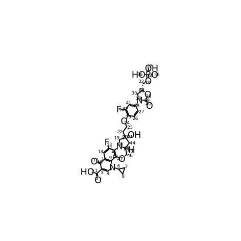 O=C(O)c1cn(C2CC2)c2c3c(c(F)cc2c1=O)N1C[C@@](O)(CCOc2ccc(N4C[C@H](COP(=O)(O)O)OC4=O)cc2F)C[C@H]1CO3